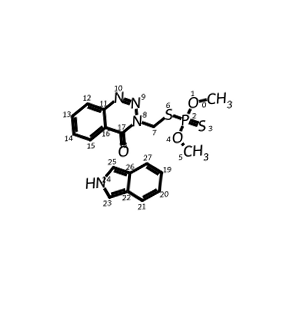 COP(=S)(OC)SCn1nnc2ccccc2c1=O.c1ccc2c[nH]cc2c1